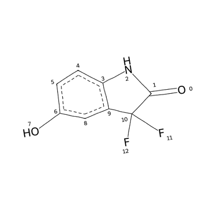 O=C1Nc2ccc(O)cc2C1(F)F